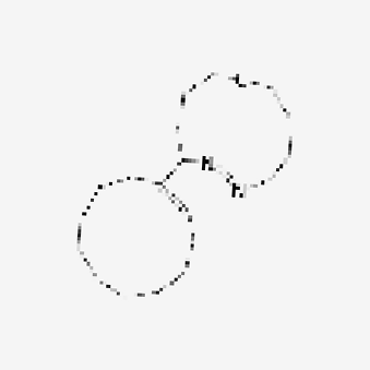 C1=C(/C2CCCCCCCC/N=N/2)CCCCCCCCC/1